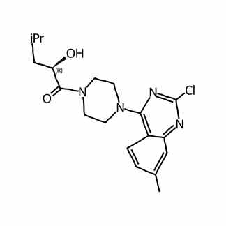 Cc1ccc2c(N3CCN(C(=O)[C@H](O)CC(C)C)CC3)nc(Cl)nc2c1